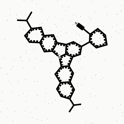 CC(C)c1ccc2cc3c(cc2c1)c1cc(-c2ccccc2C#N)cc2c4cc5cc(C(C)C)ccc5cc4n3c12